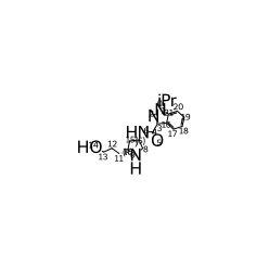 CC(C)n1nc(C(=O)N[C@@H]2CN[C@H](CCCO)C2)c2ccccc21